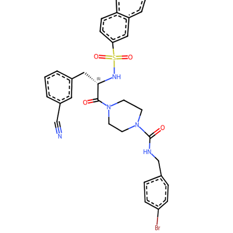 N#Cc1cccc(C[C@H](NS(=O)(=O)c2ccc3ccccc3c2)C(=O)N2CCN(C(=O)NCc3ccc(Br)cc3)CC2)c1